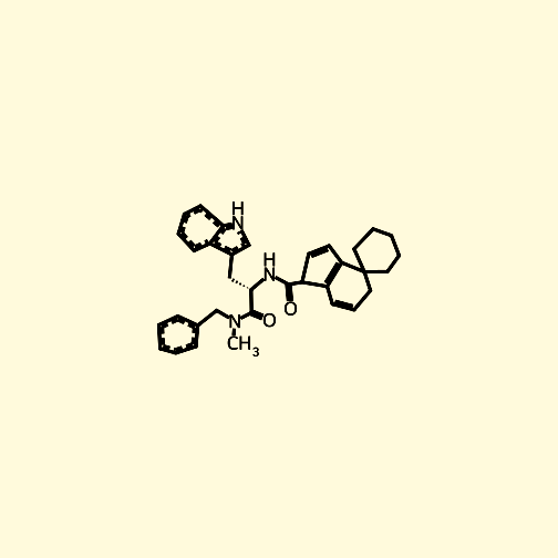 CN(Cc1ccccc1)C(=O)[C@H](Cc1c[nH]c2ccccc12)NC(=O)C1C=CC2=C1C=CCC21CCCCC1